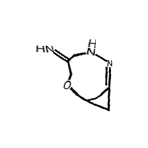 N=C1NN=C2CC2O1